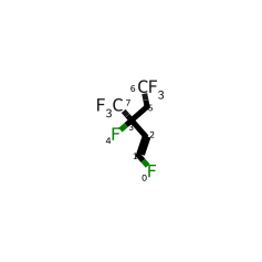 FC=CC(F)(CC(F)(F)F)C(F)(F)F